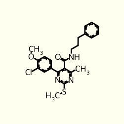 COc1ccc(-c2nc(SC)nc(C)c2C(=O)NCCCc2ccccc2)cc1Cl